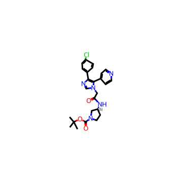 CC(C)(C)OC(=O)N1CC[C@H](NC(=O)Cn2cnc(-c3ccc(Cl)cc3)c2-c2ccncc2)C1